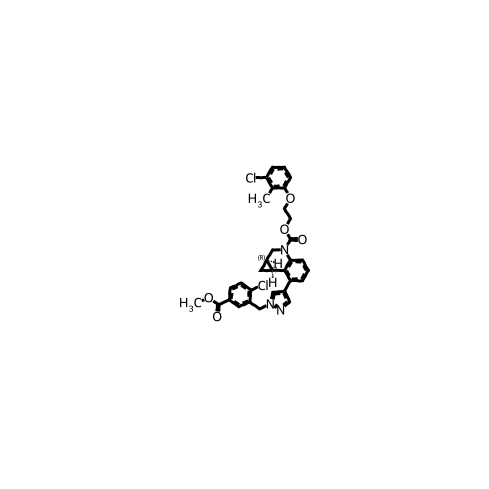 COC(=O)c1ccc(Cl)c(Cn2cc(-c3cccc4c3[C@H]3C[C@H]3CN4C(=O)OCCOc3cccc(Cl)c3C)cn2)c1